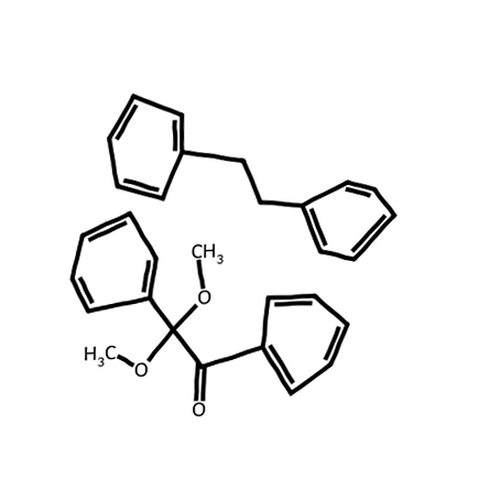 COC(OC)(C(=O)c1ccccc1)c1ccccc1.c1ccc(CCc2ccccc2)cc1